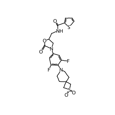 O=C(NCC1CN(c2cc(F)c(N3CCC4(CC3)CS(=O)(=O)C4)c(F)c2)C(=O)O1)c1cccs1